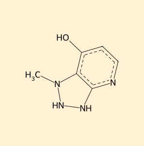 CN1NNc2nccc(O)c21